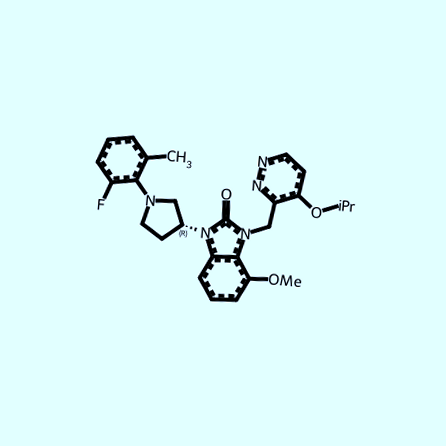 COc1cccc2c1n(Cc1nnccc1OC(C)C)c(=O)n2[C@@H]1CCN(c2c(C)cccc2F)C1